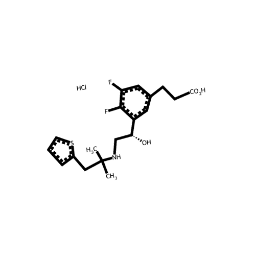 CC(C)(Cc1cccs1)NC[C@@H](O)c1cc(CCC(=O)O)cc(F)c1F.Cl